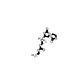 C=COC(=O)OC=C.CC1COC(=O)O1.O=C1OCCO1